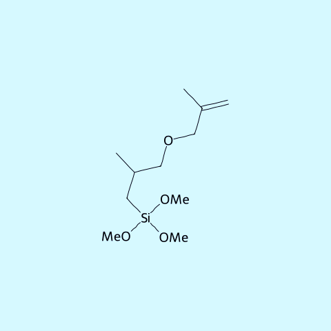 C=C(C)COCC(C)C[Si](OC)(OC)OC